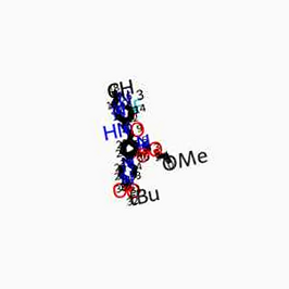 COCCOc1nc2c(C(=O)Nc3cc(F)c4nc(C)cn4c3)ccc(N3CCN(C(=O)OC(C)(C)C)CC3)c2o1